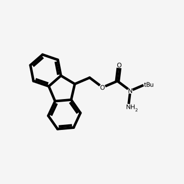 CC(C)(C)N(N)C(=O)OCC1c2ccccc2-c2ccccc21